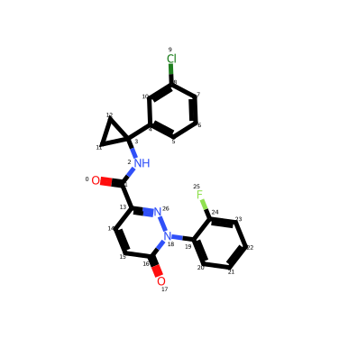 O=C(NC1(c2cccc(Cl)c2)CC1)c1ccc(=O)n(-c2ccccc2F)n1